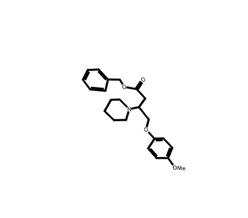 COc1ccc(OCC(CC(=O)OCc2ccccc2)N2CCCCC2)cc1